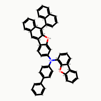 c1ccc(-c2ccc(N(c3ccc4c(c3)oc3c(-c5cccc6ccccc56)c5ccccc5cc34)c3cccc4c3oc3ccccc34)cc2)cc1